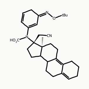 CC(C)(C)ON=C1C=C(N(C(=O)O)[C@@]2(CC#N)CCC3C4CCC5=CCCCC5=C4CC[C@@]32C)C=CC1